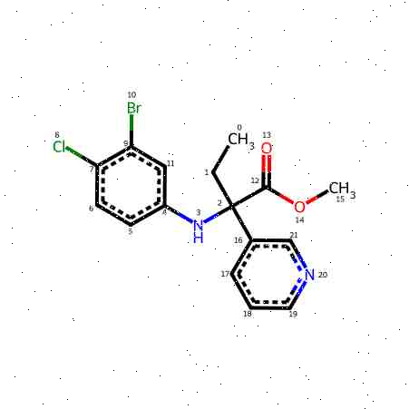 CCC(Nc1ccc(Cl)c(Br)c1)(C(=O)OC)c1cccnc1